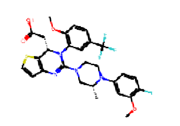 COc1cc(N2CCN(C3=Nc4ccsc4[C@H](CC(=O)O)N3c3cc(C(F)(F)F)ccc3OC)C[C@H]2C)ccc1F